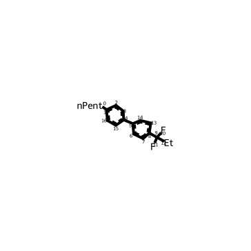 CCCCCc1ccc(-c2ccc(C(F)(F)CC)cc2)cc1